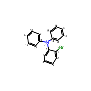 Brc1ccccc1N(c1ccccc1)c1ccccc1